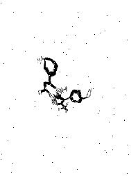 Nc1cccc(-c2cc(=O)n3nc(C(F)(F)F)c(-c4ccc(Cl)cc4)c3[nH]2)c1